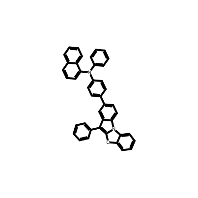 c1ccc(-c2c3cc(-c4ccc(N(c5ccccc5)c5cccc6ccccc56)cc4)ccc3n3c2oc2ccccc23)cc1